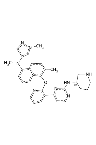 Cc1ccc2c(N(C)c3cnn(C)c3)cccc2c1Oc1ncccc1-c1ccnc(N[C@H]2CCCNC2)n1